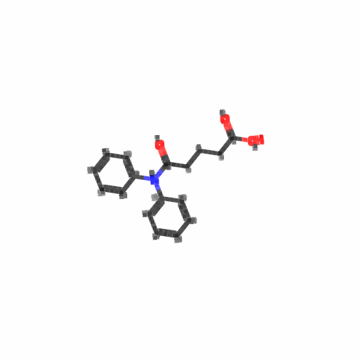 O=C(O)CCCC(=O)N(c1ccccc1)c1ccccc1